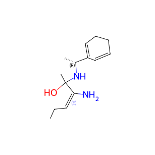 CC/C=C(/N)C(C)(O)N[C@H](C)C1=CCCC=C1